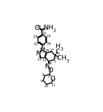 CC1(C)CC(=NOC2CCCCO2)c2cnn(-c3ccc(C(N)=O)cc3)c2C1